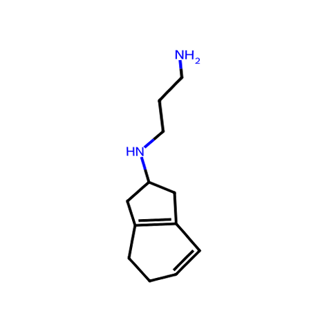 NCCCNC1CC2=C(CCC=C2)C1